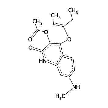 CC=C(CC)Oc1c(OC(C)=O)c(=O)[nH]c2cc(NC)ccc12